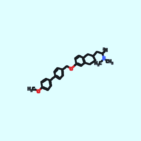 [2H]C(CC1CCc2cc(OCc3ccc(-c4ccc(OC)cc4)cc3)ccc2C1)N(C)C